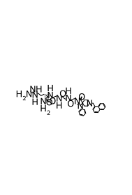 N=C(N)NCCC[C@H](NC(=O)CNC(=O)CNC(=O)CN1CN(c2ccccc2)C2(CCN(Cc3cccc4ccccc34)CC2)C1=O)C(N)=O